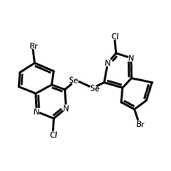 Clc1nc([Se][Se]c2nc(Cl)nc3ccc(Br)cc23)c2cc(Br)ccc2n1